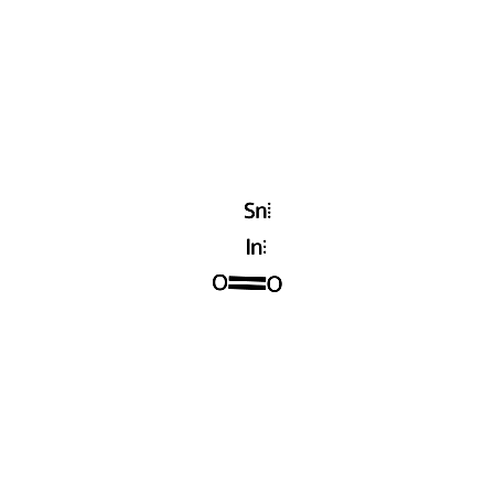 O=O.[In].[Sn]